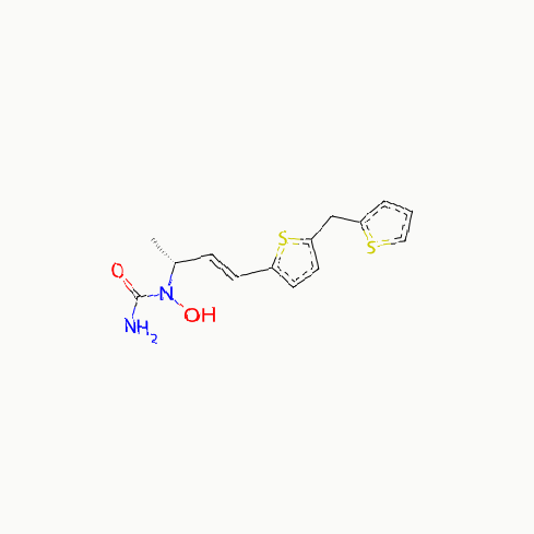 C[C@H](C=Cc1ccc(Cc2cccs2)s1)N(O)C(N)=O